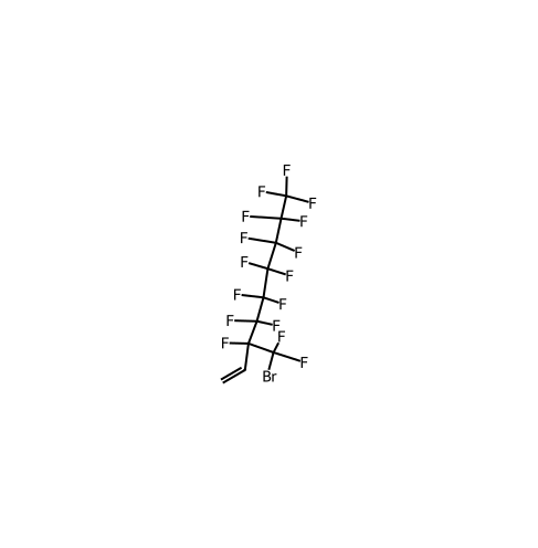 C=CC(F)(C(F)(F)Br)C(F)(F)C(F)(F)C(F)(F)C(F)(F)C(F)(F)C(F)(F)F